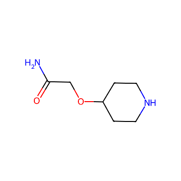 NC(=O)COC1CCNCC1